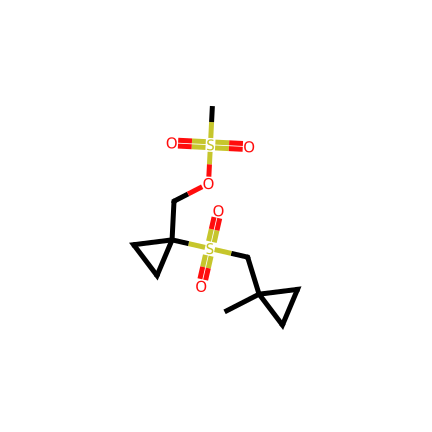 CC1(CS(=O)(=O)C2(COS(C)(=O)=O)CC2)CC1